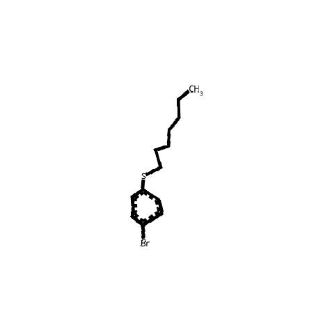 CCCCCCCSc1ccc(Br)cc1